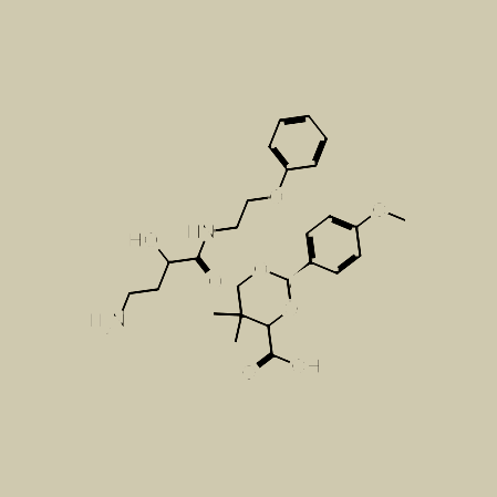 COc1ccc([C@@H]2OCC(C)(C)C(C(=O)O)O2)cc1.NCCC(O)C(=O)NCCOc1ccccc1